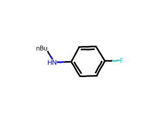 [CH2]CCCNc1ccc(F)cc1